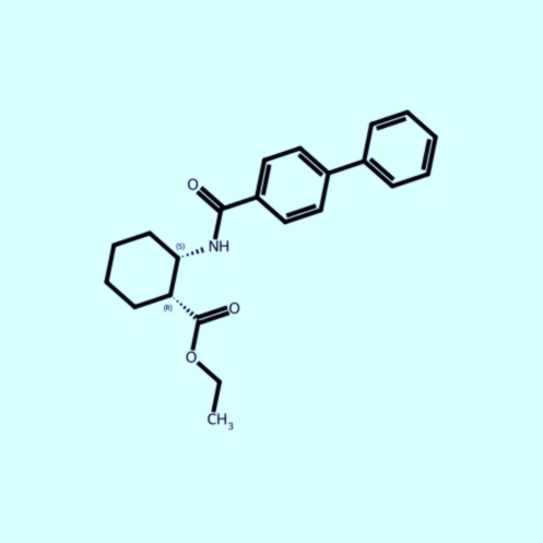 CCOC(=O)[C@@H]1CCCC[C@@H]1NC(=O)c1ccc(-c2ccccc2)cc1